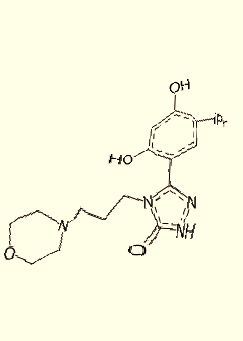 CC(C)c1cc(-c2n[nH]c(=O)n2CCCN2CCOCC2)c(O)cc1O